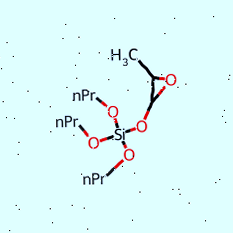 CCCO[Si](OCCC)(OCCC)OC1OC1C